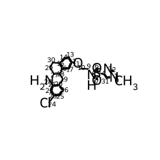 Cn1cnc(S(=O)(=O)NCCOc2ccc3c(c2)C(Cc2ccc(Cl)cc2)C(N)CC3)c1